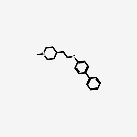 CN1CCC(CCOc2[c]cc(-c3ccccc3)cc2)CC1